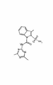 Cc1nc(C)nc(NC(=O)n2c(S(N)(=O)=O)c(C)c3ccccc32)n1